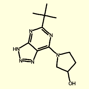 CC(C)(C)c1nc(N2CCC(O)C2)c2nn[nH]c2n1